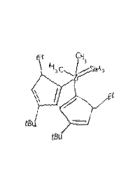 CCC1C=C(C(C)(C)C)C=[C]1[Zr]([CH3])([CH3])(=[SiH2])[C]1=CC(C(C)(C)C)=CC1CC